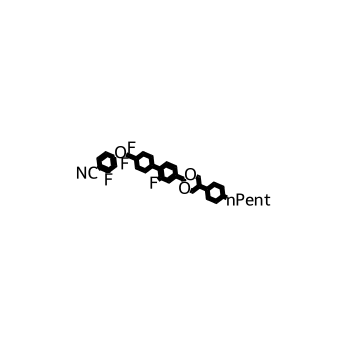 CCCCCC1CCC(C2COC(c3ccc(C4CCC(C(F)(F)Oc5ccc(C#N)c(F)c5)CC4)c(F)c3)OC2)CC1